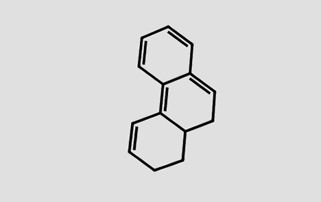 C1=CC2=c3ccccc3=CCC2CC1